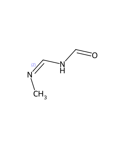 C/N=C\NC=O